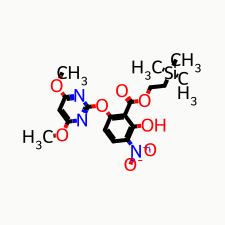 COc1cc(OC)nc(Oc2ccc([N+](=O)[O-])c(O)c2C(=O)OCC[Si](C)(C)C)n1